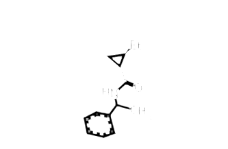 CC[C@@H]1C[C@H]1C(=O)NC(C)c1ccccc1